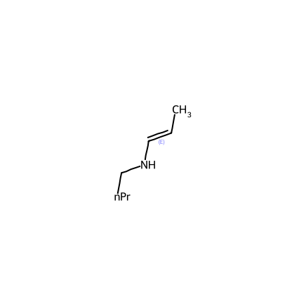 C/C=C/NCCCC